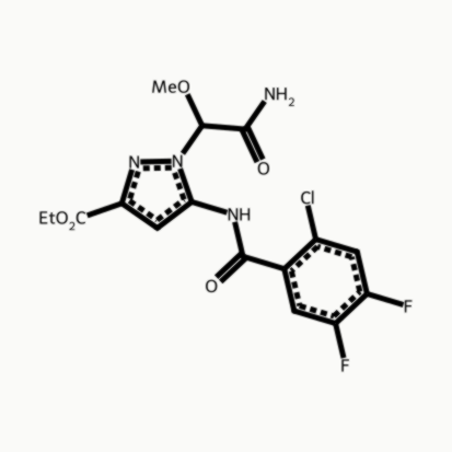 CCOC(=O)c1cc(NC(=O)c2cc(F)c(F)cc2Cl)n(C(OC)C(N)=O)n1